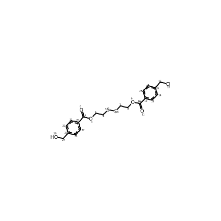 O=C(OCCSSCCOC(=O)c1ccc(CCl)cc1)c1ccc(CO)cc1